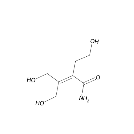 NC(=O)C(CCO)=C(CO)CO